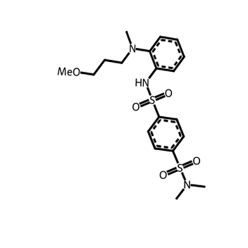 COCCCN(C)c1ccccc1NS(=O)(=O)c1ccc(S(=O)(=O)N(C)C)cc1